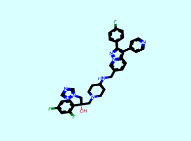 O[C@@](CN1CCC(NCc2ccc3c(-c4ccncc4)c(-c4ccc(F)cc4)nn3c2)CC1)(Cn1cncn1)c1ccc(F)cc1F